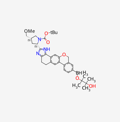 COC[C@H]1C[C@@H](c2nc3c([nH]2)-c2cc4c(cc2CC3)-c2ccc(BOC(C)(C)C(C)(C)O)cc2CO4)N(C(=O)OC(C)(C)C)C1